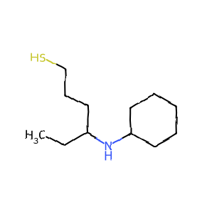 CCC(CCCS)NC1CCCCC1